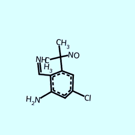 CC(C)(N=O)c1cc(Cl)cc(N)c1C=N